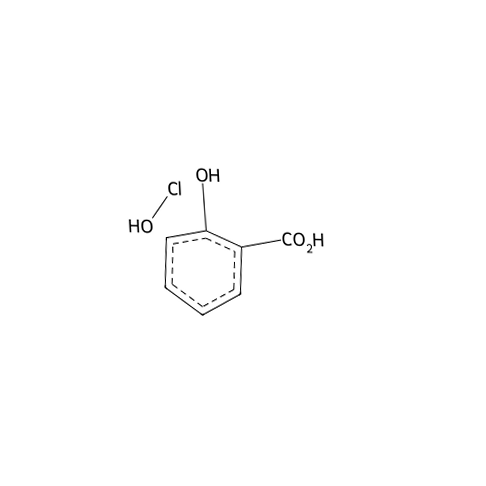 O=C(O)c1ccccc1O.OCl